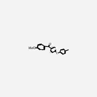 C=C(/C=C\C(=C/C)C(=O)c1ccc(OC)cc1)Oc1ccc(C)cc1